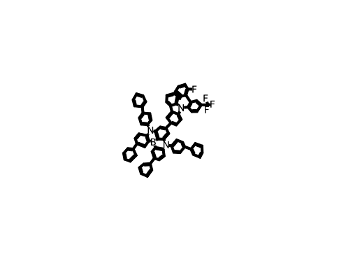 Fc1cccc(F)c1-c1cc(C(F)(F)F)ccc1-n1c2ccccc2c2cc(-c3cc4c5c(c3)N(c3ccc(-c6ccccc6)cc3)c3ccc(-c6ccccc6)cc3B5c3cc(-c5ccccc5)ccc3N4c3ccc(-c4ccccc4)cc3)ccc21